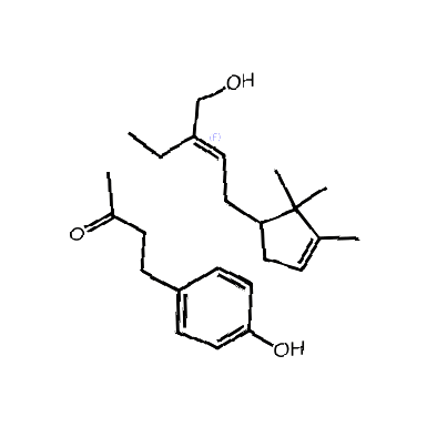 CC(=O)CCc1ccc(O)cc1.CC/C(=C\CC1CC=C(C)C1(C)C)CO